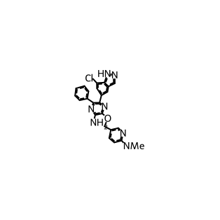 CNc1ccc(COc2nc(-c3cc(Cl)c4[nH]ncc4c3)c(-c3ccccc3)nc2N)cn1